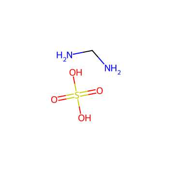 NCN.O=S(=O)(O)O